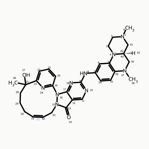 CN1CCN2c3cc(Nc4ncc5c(=O)n6n(c5n4)-c4cccc(n4)C(C)(O)CCC/C=C\C6)ccc3N(C)C[C@@H]2C1